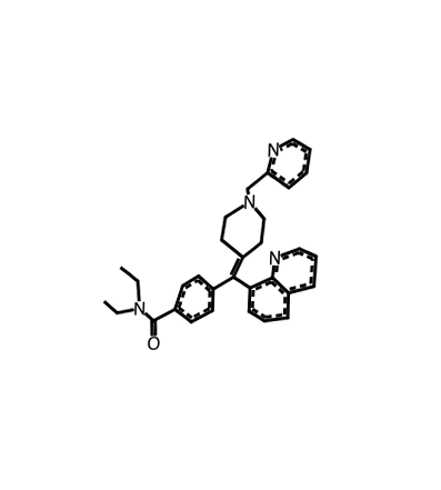 CCN(CC)C(=O)c1ccc(C(=C2CCN(Cc3ccccn3)CC2)c2cccc3cccnc23)cc1